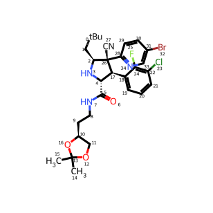 CC(C)(C)C[C@@H]1N[C@@H](C(=O)NCC[C@H]2COC(C)(C)O2)[C@H](c2cccc(Cl)c2F)[C@@]1(C#N)c1ccc(Br)cn1